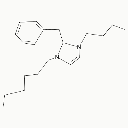 CCCCCCN1C=CN(CCCC)C1Cc1ccccc1